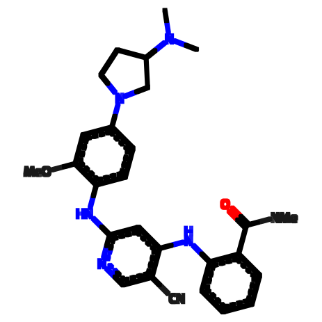 CNC(=O)c1ccccc1Nc1cc(Nc2ccc(N3CCC(N(C)C)C3)cc2OC)ncc1C#N